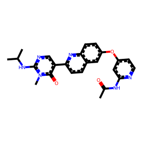 CC(=O)Nc1cc(Oc2ccc3nc(-c4cnc(NC(C)C)n(C)c4=O)ccc3c2)ccn1